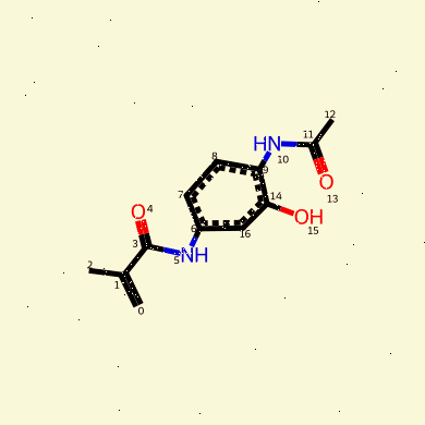 C=C(C)C(=O)Nc1ccc(NC(C)=O)c(O)c1